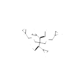 OC=C(C1CO1)C(COCC1CO1)(COCC1CO1)C(=CO)C1CO1